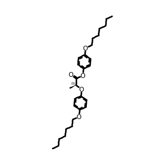 CCCCCCCOc1ccc(OC(=O)[C@H](C)Oc2ccc(OCCCCCCC)cc2)cc1